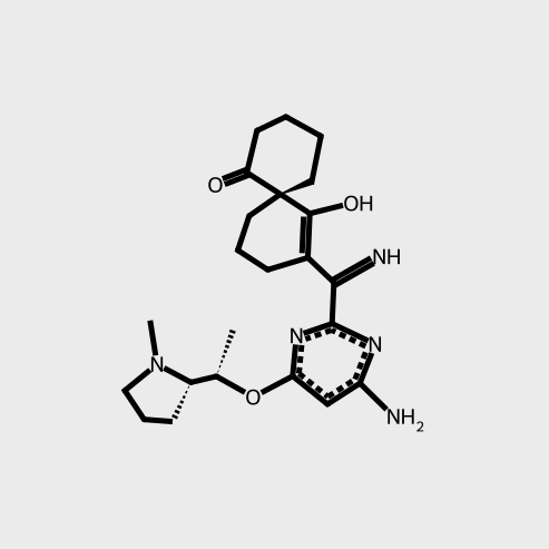 C[C@H](Oc1cc(N)nc(C(=N)C2=C(O)[C@]3(CCCCC3=O)CCC2)n1)[C@@H]1CCCN1C